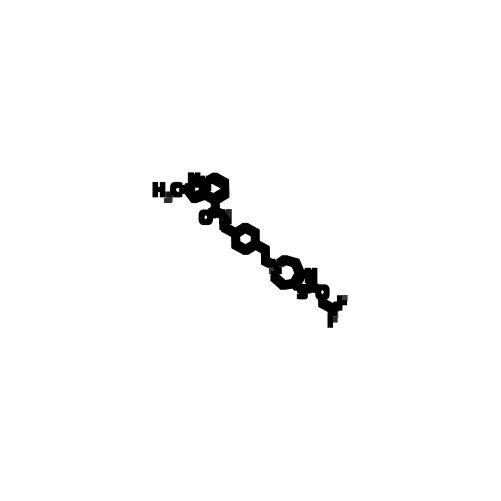 Cc1cc2c(C(=O)/N=C/C3CCC(CCN4CCc5nc(OCC(F)F)sc5CC4)CC3)cccn2n1